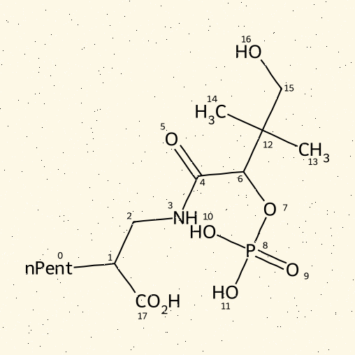 CCCCCC(CNC(=O)C(OP(=O)(O)O)C(C)(C)CO)C(=O)O